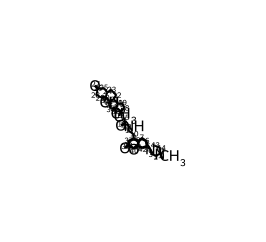 CN1CCN(c2ccc3c(CCNC(=O)COC4CCC5C6CCC7CC(=O)CCC7(C)C6CCC45C)cc(=O)oc3c2)CC1